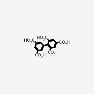 O=C(O)c1cc(C(=O)O)cc(-c2c(C(=O)O)cc(C(=O)O)cc2C(=O)O)c1